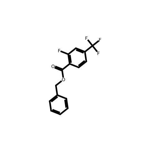 O=C(OCc1ccccc1)c1ccc(C(F)(F)F)cc1F